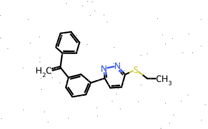 C=C(c1ccccc1)c1cccc(-c2ccc(SCC)nn2)c1